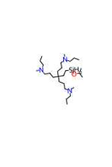 CCCN(C)CCCC(CCCN(C)CCC)(CCCN(C)CCC)CC[SiH2]OC(C)C